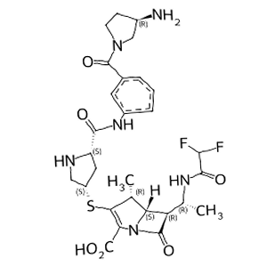 C[C@@H](NC(=O)C(F)F)[C@H]1C(=O)N2C(C(=O)O)=C(S[C@@H]3CN[C@H](C(=O)Nc4cccc(C(=O)N5CC[C@@H](N)C5)c4)C3)[C@H](C)[C@H]12